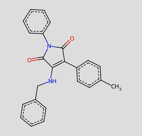 Cc1ccc(C2=C(NCc3ccccc3)C(=O)N(c3ccccc3)C2=O)cc1